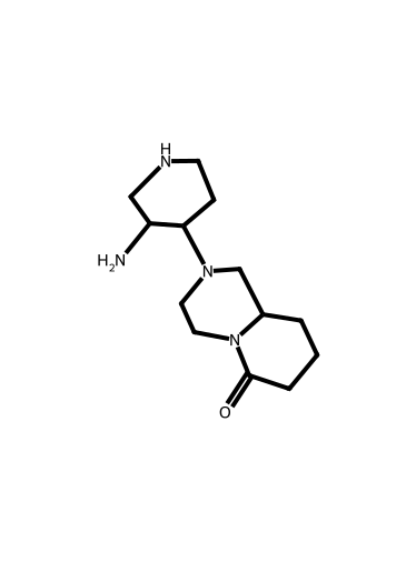 NC1CNCCC1N1CCN2C(=O)CCCC2C1